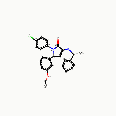 C[C@@H](NC1=CC(c2cccc(OCC(F)(F)F)c2)N(c2ccc(Cl)cc2)C1=O)c1ccccc1